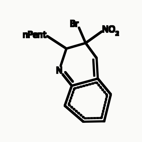 CCCCCC1N=c2ccccc2=CC1(Br)[N+](=O)[O-]